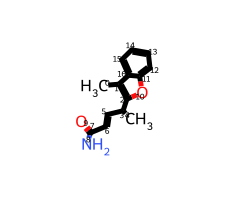 Cc1c(C(C)C=CC(N)=O)oc2ccccc12